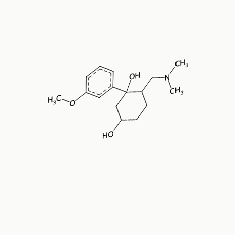 COc1cccc(C2(O)CC(O)CCC2CN(C)C)c1